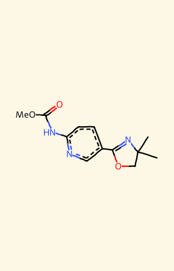 COC(=O)Nc1ccc(C2=NC(C)(C)CO2)cn1